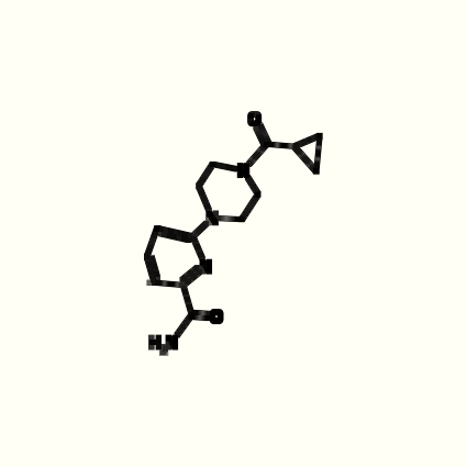 NC(=O)c1[c]ccc(N2CCN(C(=O)C3CC3)CC2)n1